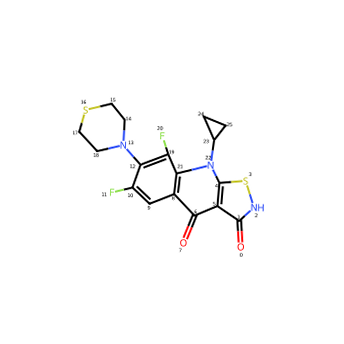 O=c1[nH]sc2c1c(=O)c1cc(F)c(N3CCSCC3)c(F)c1n2C1CC1